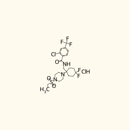 CCS(=O)(=O)N1CCN(C2(CNC(=O)c3ccc(C(F)(F)F)cc3Cl)CCC(F)(F)CC2)CC1.Cl